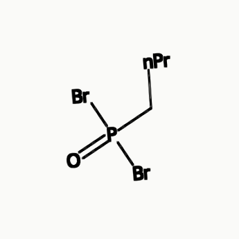 CCCCP(=O)(Br)Br